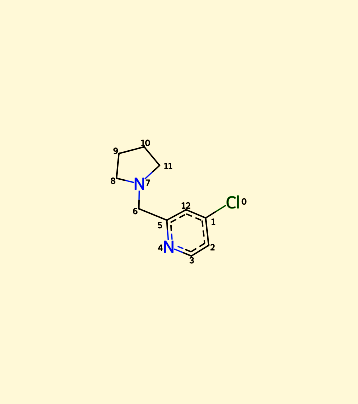 Clc1ccnc(CN2CCCC2)c1